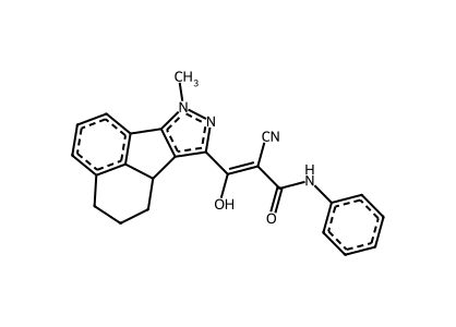 Cn1nc(/C(O)=C(\C#N)C(=O)Nc2ccccc2)c2c1-c1cccc3c1C2CCC3